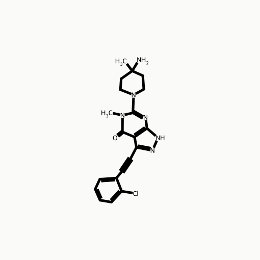 Cn1c(N2CCC(C)(N)CC2)nc2[nH]nc(C#Cc3ccccc3Cl)c2c1=O